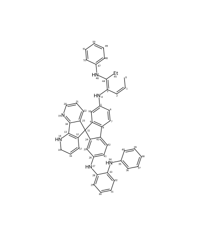 C/C=C\C(Nc1ccc2c(c1)C1(C3=C(NCC=C3)c3ncccc31)c1cc(Nc3ccccc3Nc3ccccc3)ccc1-2)=C(/CC)Nc1ccccc1